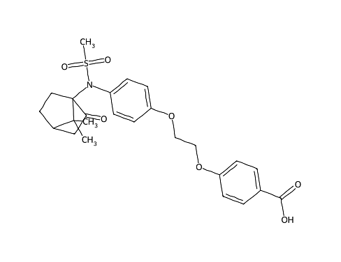 CC1(C)C2CCC1(N(c1ccc(OCCOc3ccc(C(=O)O)cc3)cc1)S(C)(=O)=O)C(=O)C2